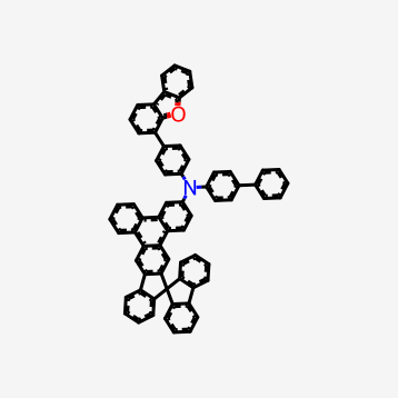 c1ccc(-c2ccc(N(c3ccc(-c4cccc5c4oc4ccccc45)cc3)c3ccc4c(c3)c3ccccc3c3cc5c(cc43)C3(c4ccccc4-c4ccccc43)c3ccccc3-5)cc2)cc1